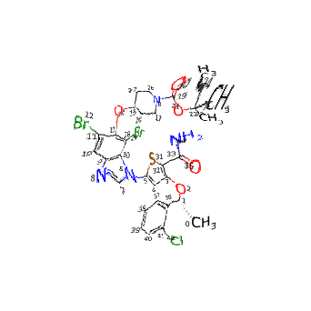 C[C@@H](Oc1cc(-n2cnc3cc(Br)c(OC4CCN(C(=O)OC(C)(C)C)CC4)c(Br)c32)sc1C(N)=O)c1ccccc1Cl